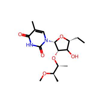 CC[C@H]1O[C@@H](n2cc(C)c(=O)[nH]c2=O)[C@@H](O[C@H](C)[C@@H](C)OC)C1O